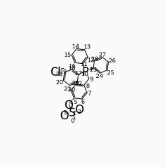 CS(=O)(=O)Oc1ccc(C[P+](c2ccccc2)(c2ccccc2)c2ccccc2)cc1.[Cl-]